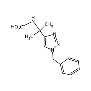 CC(C)(NC(=O)O)c1cn(Cc2ccccc2)nn1